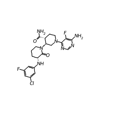 NC(=O)[C@@H]1CCN(c2ncnc(N)c2F)C[C@H]1N1CCC[C@@H](Nc2cc(F)cc(Cl)c2)C1=O